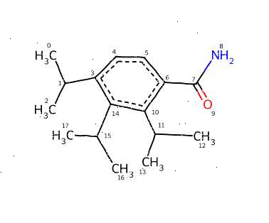 CC(C)c1ccc(C(N)=O)c(C(C)C)c1C(C)C